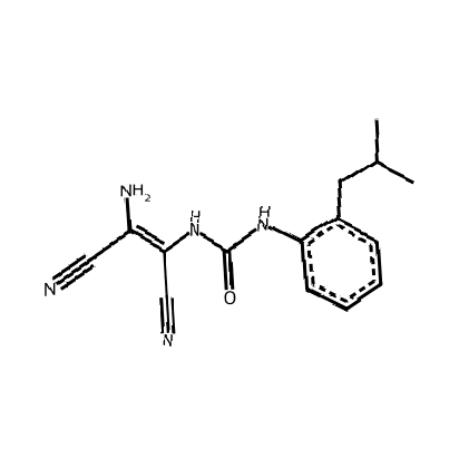 CC(C)Cc1ccccc1NC(=O)N/C(C#N)=C(\N)C#N